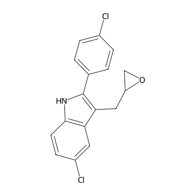 Clc1ccc(-c2[nH]c3ccc(Cl)cc3c2CC2CO2)cc1